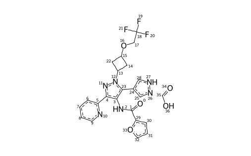 O=C(Nc1c(-c2ccccn2)nn(C2CC(OCC(F)(F)F)C2)c1-c1cn[nH]c1)c1ccco1.O=CO